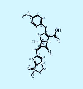 COc1ccc(CC2=C(C(=O)O)N3C(=O)C(=Cc4cn5c(n4)S(=O)(=O)CC5)[C@H]3S2)cc1